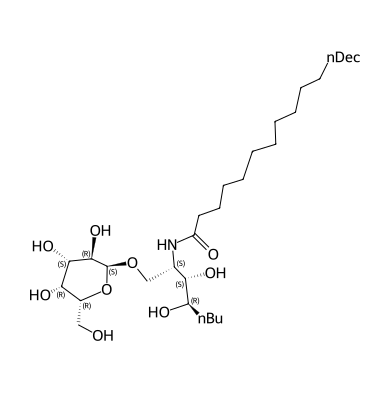 CCCCCCCCCCCCCCCCCCCCC(=O)N[C@@H](CO[C@H]1O[C@H](CO)[C@H](O)[C@H](O)[C@H]1O)[C@H](O)[C@H](O)CCCC